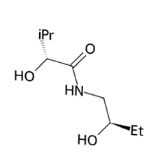 CC[C@@H](O)CNC(=O)[C@H](O)C(C)C